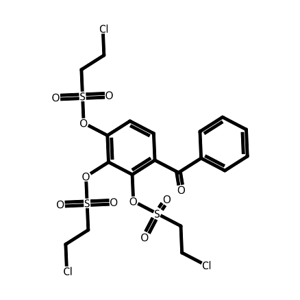 O=C(c1ccccc1)c1ccc(OS(=O)(=O)CCCl)c(OS(=O)(=O)CCCl)c1OS(=O)(=O)CCCl